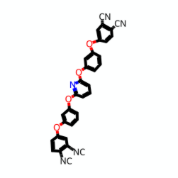 [C-]#[N+]c1ccc(Oc2cccc(Oc3cccc(Oc4cccc(Oc5ccc(C#N)c(C#N)c5)c4)n3)c2)cc1[N+]#[C-]